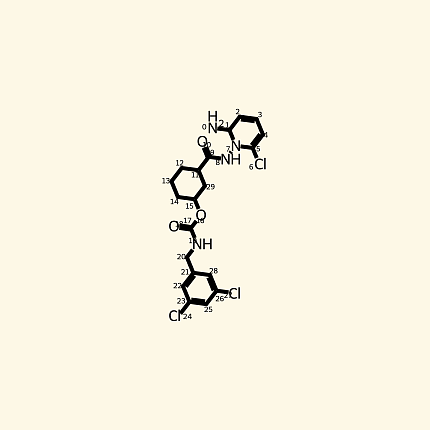 NC1C=CC=C(Cl)N1NC(=O)C1CCCC(OC(=O)NCc2cc(Cl)cc(Cl)c2)C1